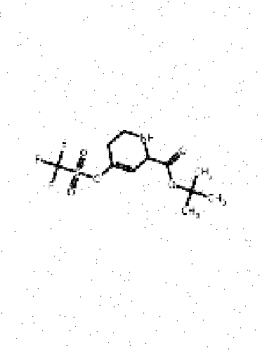 CC(C)(C)OC(=O)C1C=C(OS(=O)(=O)C(F)(F)F)CCN1